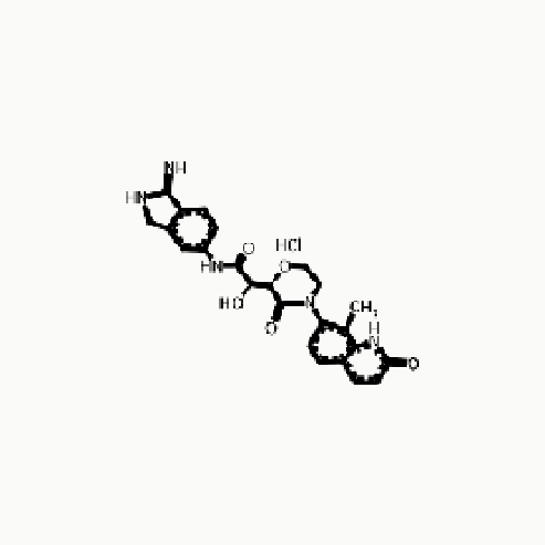 Cc1c(N2CCO[C@H]([C@@H](O)C(=O)Nc3ccc4c(c3)CNC4=N)C2=O)ccc2ccc(=O)[nH]c12.Cl